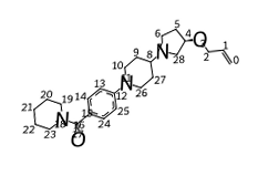 C=CCO[C@@H]1CCN(C2CCN(c3ccc(C(=O)N4CCCCC4)cc3)CC2)C1